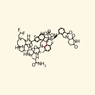 NC(=O)CC[C@H](NC(=O)[C@@H]1CC[C@@H]2CCN(CC(F)F)C[C@H](NC(=O)c3cc4cc(C(F)(F)P(=O)(O)O)ccc4s3)C(=O)N21)C(=O)N[C@@H](Cc1ccc(F)cc1)C(=O)N1CCC(CCC#Cc2cccc3c2CN(C2CCC(=O)NC2=O)C3=O)CC1